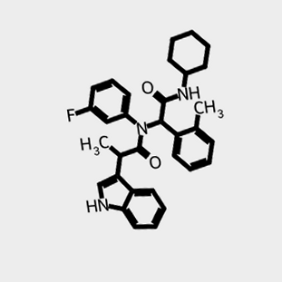 Cc1ccccc1C(C(=O)NC1CCCCC1)N(C(=O)C(C)c1c[nH]c2ccccc12)c1cccc(F)c1